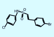 O=S(=O)(/C=C/c1ccc(Br)cc1)Nc1ccc(Cl)cc1